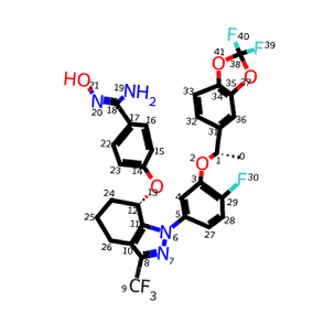 C[C@H](Oc1cc(-n2nc(C(F)(F)F)c3c2[C@@H](Oc2ccc(C(N)=NO)cc2)CCC3)ccc1F)c1ccc2c(c1)OC(F)(F)O2